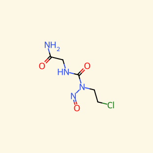 NC(=O)CNC(=O)N(CCCl)N=O